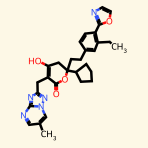 CCc1cc(CCC2(C3CCCC3)CC(O)=C(Cc3nc4ncc(C)cn4n3)C(=O)O2)ccc1-c1ncco1